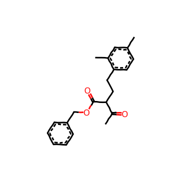 CC(=O)C(CCc1ccc(C)cc1C)C(=O)OCc1ccccc1